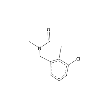 Cc1c(Cl)cccc1CN(C)C=O